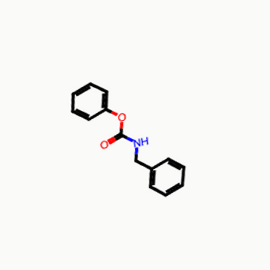 O=C(NCc1ccccc1)Oc1ccccc1